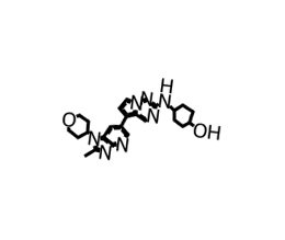 Cc1nc2ncc(-c3ccn4nc(NC5CCC(O)CC5)ncc34)cc2n1C1CCOCC1